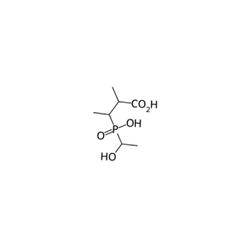 CC(C(=O)O)C(C)P(=O)(O)C(C)O